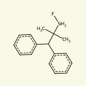 CC(C)([SiH2]F)C(c1ccccc1)c1ccccc1